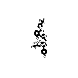 O=C(c1cccc(Cl)c1-n1cnc(Cn2nc(-c3ccc(Cl)cc3)n(C[C@H](O)C(F)(F)F)c2=O)n1)N1CCC(C(F)(F)F)C1